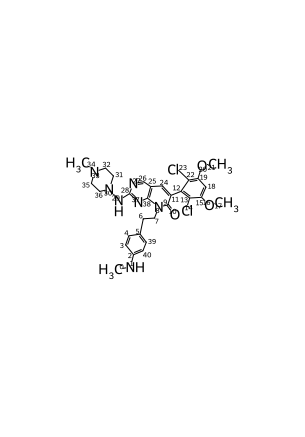 CNc1ccc(CCn2c(=O)c(-c3c(Cl)c(OC)cc(OC)c3Cl)cc3cnc(NN4CCN(C)CC4)nc32)cc1